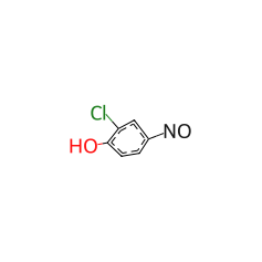 O=Nc1ccc(O)c(Cl)c1